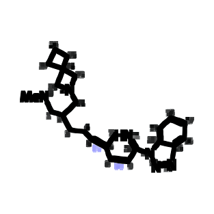 CNCC(CC/C=C(C)/C=C\C(=N)n1nnc2ccccc21)CN1CC2(CCC2)C1